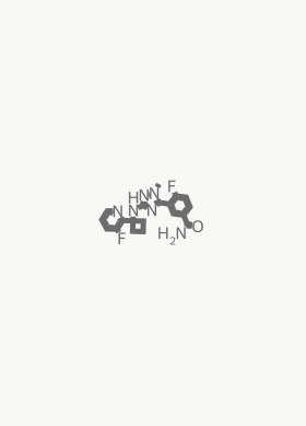 Cn1nc(NC2(c3ncccc3F)CCC2)nc1-c1cc(C(N)=O)ccc1F